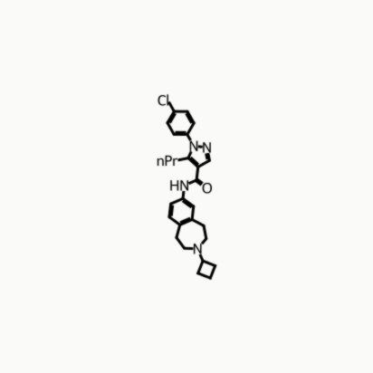 CCCc1c(C(=O)Nc2ccc3c(c2)CCN(C2CCC2)CC3)cnn1-c1ccc(Cl)cc1